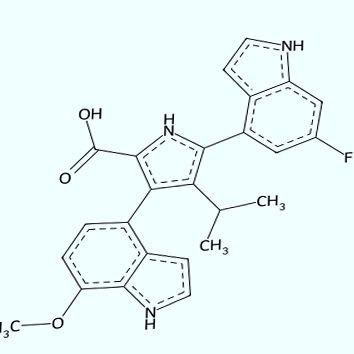 COc1ccc(-c2c(C(=O)O)[nH]c(-c3cc(F)cc4[nH]ccc34)c2C(C)C)c2cc[nH]c12